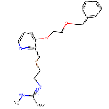 CN/C(=N/CCSCc1ncccc1OCCOCc1ccccc1)NC#N